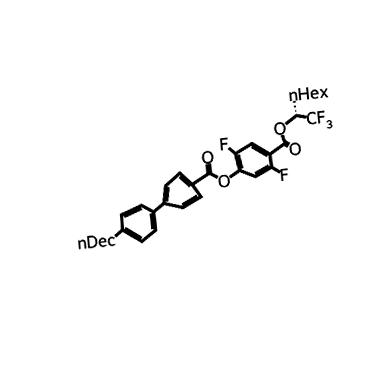 CCCCCCCCCCc1ccc(-c2ccc(C(=O)Oc3cc(F)c(C(=O)O[C@H](CCCCCC)C(F)(F)F)cc3F)cc2)cc1